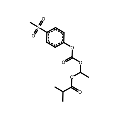 CC(OC(=O)Oc1ccc(S(C)(=O)=O)cc1)OC(=O)C(C)C